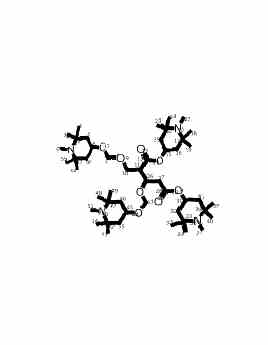 CN1C(C)(C)CC(OCOCC(C(=O)OC2CC(C)(C)N(C)C(C)(C)C2)C(CC(=O)OC2CC(C)(C)N(C)C(C)(C)C2)OCOC2CC(C)(C)N(C)C(C)(C)C2)CC1(C)C